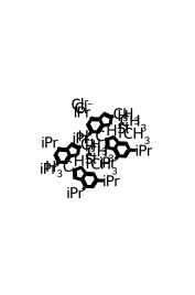 CC1=Cc2c(C(C)C)cc(C(C)C)cc2[CH]1[Hf+]([CH]1C(C)=Cc2c(C(C)C)cc(C(C)C)cc21)[SiH](C)C.CC1=Cc2c(C(C)C)cc(C(C)C)cc2[CH]1[Hf+]([CH]1C(C)=Cc2c(C(C)C)cc(C(C)C)cc21)[SiH](C)C.[Cl-].[Cl-]